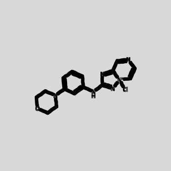 Cl[N+]12C=CN=CC1=NC(Nc1cccc(N3CCOCC3)c1)=N2